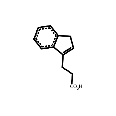 O=C(O)CCC1=CCc2ccccc21